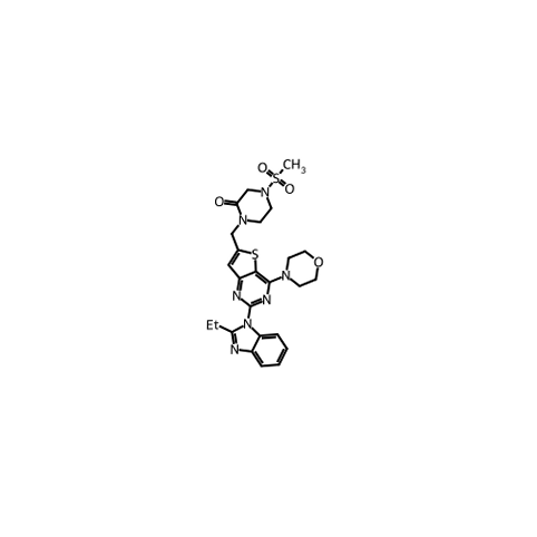 CCc1nc2ccccc2n1-c1nc(N2CCOCC2)c2sc(CN3CCN(S(C)(=O)=O)CC3=O)cc2n1